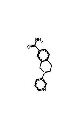 NC(=O)c1ccc2c(c1)CN(c1cncnc1)CC2